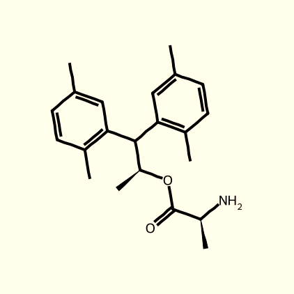 Cc1ccc(C)c(C(c2cc(C)ccc2C)[C@H](C)OC(=O)[C@H](C)N)c1